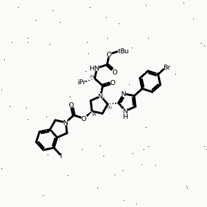 CC(C)[C@H](NC(=O)OC(C)(C)C)C(=O)N1C[C@H](OC(=O)N2Cc3cccc(I)c3C2)C[C@H]1c1nc(-c2ccc(Br)cc2)c[nH]1